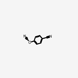 N#COc1ccc(C#N)cc1